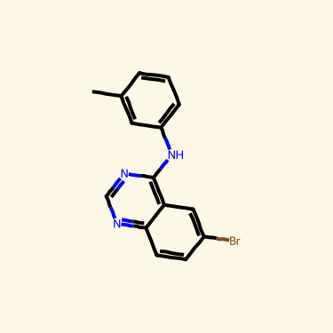 Cc1cccc(Nc2ncnc3ccc(Br)cc23)c1